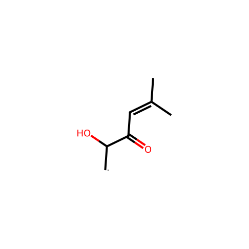 [CH2]C(O)C(=O)C=C(C)C